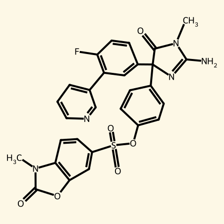 CN1C(=O)C(c2ccc(OS(=O)(=O)c3ccc4c(c3)oc(=O)n4C)cc2)(c2ccc(F)c(-c3cccnc3)c2)N=C1N